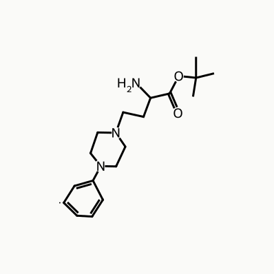 CC(C)(C)OC(=O)C(N)CCN1CCN(c2c[c]ccc2)CC1